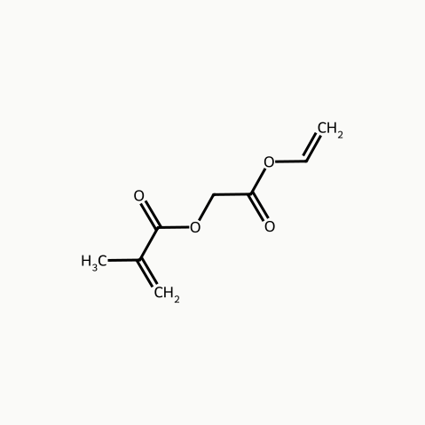 C=COC(=O)COC(=O)C(=C)C